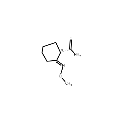 CON=C1CCCC[C@@H]1C(N)=O